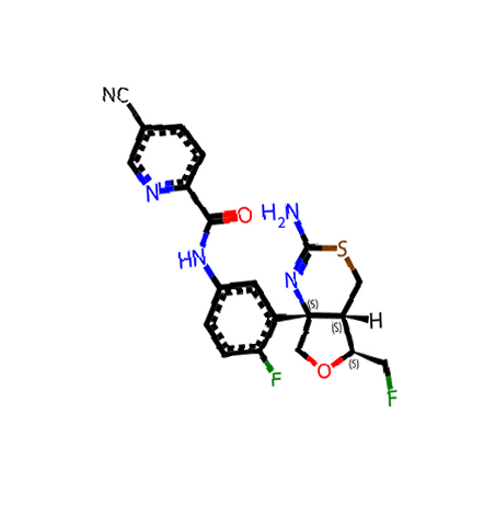 N#Cc1ccc(C(=O)Nc2ccc(F)c([C@]34CO[C@H](CF)[C@H]3CSC(N)=N4)c2)nc1